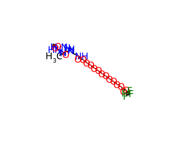 CCCN(CCCNC(=O)OC1CCC1)C(=O)C1=Cc2c(cnn2CCCCCNC(=O)CCOCCOCCOCCOCCOCCOCCOCCOCCOCCOCCOCCC(=O)Oc2c(F)c(F)cc(F)c2F)N=C(N)C1